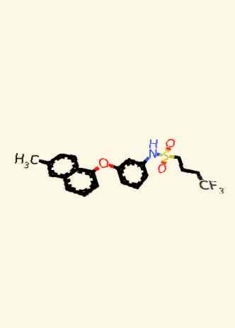 Cc1ccc2c(Oc3cccc(NS(=O)(=O)CCCC(F)(F)F)c3)cccc2c1